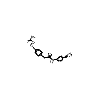 C#Cc1ccc(NC(=O)Cc2ccc(OOC(=O)C(C)C)cc2)cc1